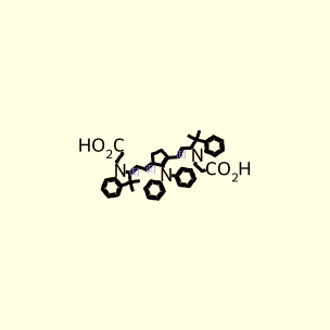 CC1(C)C(/C=C/C2=C(N(c3ccccc3)c3ccccc3)C(=C/C=C3/N(CCC(=O)O)c4ccccc4C3(C)C)/CC2)=[N+](CCC(=O)O)c2ccccc21